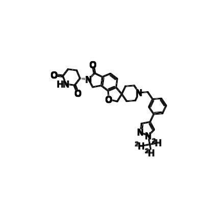 [2H]C([2H])([2H])n1cc(-c2cccc(CN3CCC4(CC3)COc3c4ccc4c3CN([C@H]3CCC(=O)NC3=O)C4=O)c2)cn1